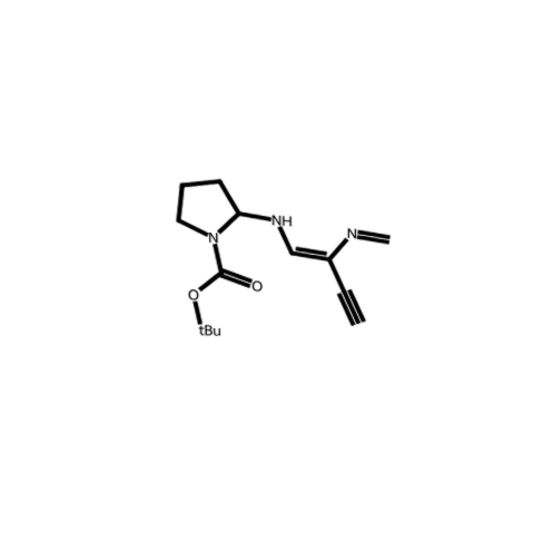 C#C/C(=C/NC1CCCN1C(=O)OC(C)(C)C)N=C